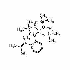 CC([SiH3])=C(C)c1ccccc1O[Si](O[Si](C)(C)C)(O[Si](C)(C)C)O[Si](C)(C)C